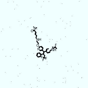 C/C=C(\C=C/CN/N=C(\C)F)C(=C(\CC(F)(F)F)c1ccccc1)/c1ccc(OCCNCC/C=C/C(=O)N(C)C)nc1